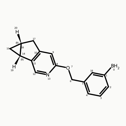 Bc1cccc(COc2cc3c(cn2)[C@@H]2C[C@@H]2C3)c1